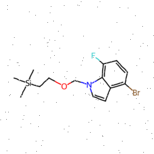 C[Si](C)(C)CCOCn1ccc2c(Br)ccc(F)c21